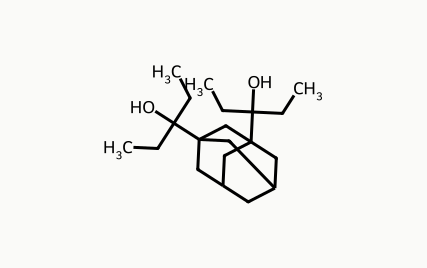 CCC(O)(CC)C12CC3CC(C1)CC(C(O)(CC)CC)(C3)C2